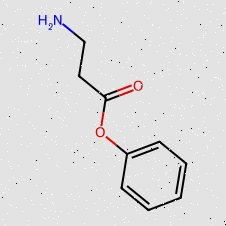 NCCC(=O)Oc1ccccc1